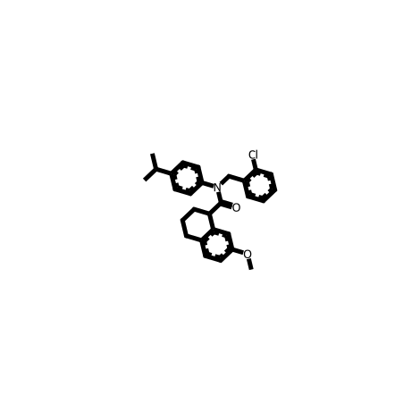 COc1ccc2c(c1)C(C(=O)N(Cc1ccccc1Cl)c1ccc(C(C)C)cc1)CCC2